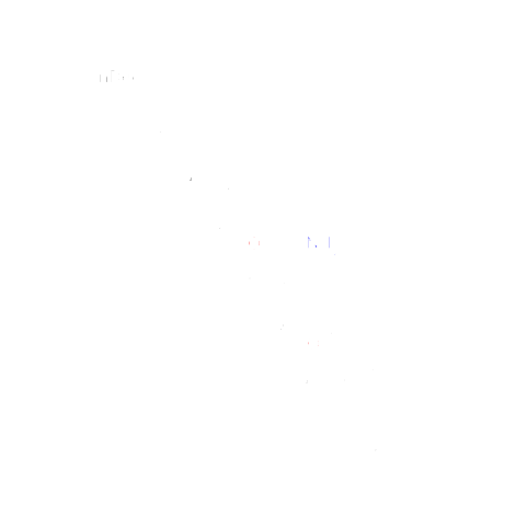 CCCCCCCCCCCCCCCCOCC(CN)COCc1ccccc1